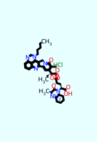 CCCCCN1C=Nc2cccc3nc4c(c1c23)Cn1c-4cc2c(c1=O)COC(=O)[C@@]2(CC)OC(=O)CC[C@@H](C(=O)O)N(C(=O)[C@H](C)N)C1CCCCC1.Cl